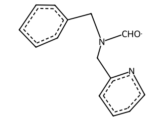 O=[C]N(Cc1ccccc1)Cc1ccccn1